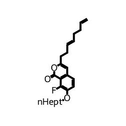 C=CCC/C=C/CCc1cc2ccc(OCCCCCCC)c(F)c2c(=O)o1